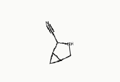 N#CC1NCC2CC21